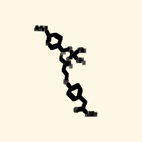 CNC(=O)Cc1ccc(OCCNC[C@@H](O[Si](C)(C)C(C)(C)C)c2ccc(NC(C)=O)nc2)cc1